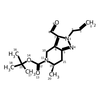 C=CCn1nc2c(c1C=O)CN(C(=O)OC(C)(C)C)[C@H](C)C2